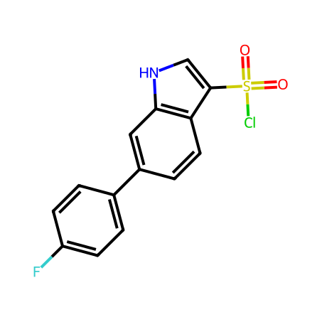 O=S(=O)(Cl)c1c[nH]c2cc(-c3ccc(F)cc3)ccc12